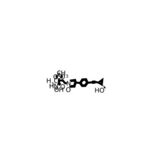 CC(CCn1ccc(-c2ccc(C#CC3C[C@@H]3CO)cc2)cc1=O)(C(=O)NO)S(C)(=O)=O